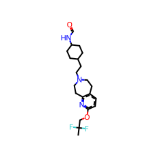 CC(F)(F)COc1ccc2c(n1)CCN(CCC1CCC(NC=O)CC1)CC2